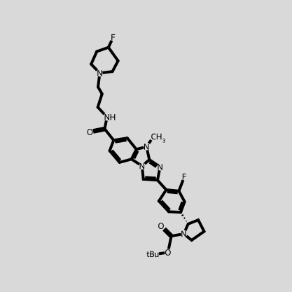 Cn1c2cc(C(=O)NCCCN3CCC(F)CC3)ccc2n2cc(-c3ccc([C@@H]4CCCN4C(=O)OC(C)(C)C)cc3F)nc12